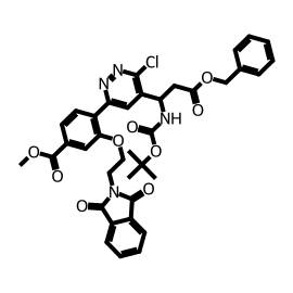 COC(=O)c1ccc(-c2cc(C(CC(=O)OCc3ccccc3)NC(=O)OC(C)(C)C)c(Cl)nn2)c(OCCN2C(=O)c3ccccc3C2=O)c1